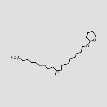 C[C@H](CCCCCCCCOC1CCCCO1)CCCCCCCCC(=O)O